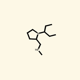 CCC(CC)N1CCCC1CPC